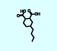 CCCCC1CCC(C(=O)O)C(C(=O)O)C1